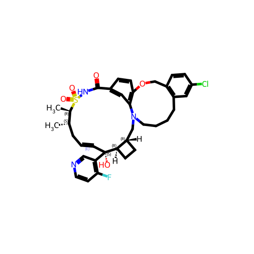 C[C@@H]1[C@@H](C)C/C=C/[C@](O)(c2cnccc2F)[C@@H]2CC[C@H]2CN2CCCCc3cc(Cl)ccc3COc3ccc(cc32)C(=O)NS1(=O)=O